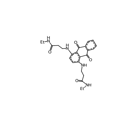 CCNC(=O)CCNc1ccc(NCCC(=O)NCC)c2c1C(=O)c1ccccc1C2=O